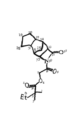 CCC(C)(C)C(=O)OCC(=O)N1C(=O)C2C3CC(C4CCCC43)C21